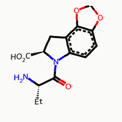 CC[C@H](N)C(=O)N1c2ccc3c(c2C[C@@H]1C(=O)O)OCO3